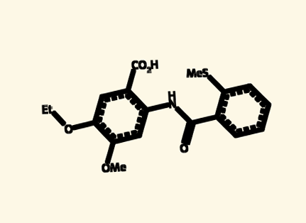 CCOc1cc(C(=O)O)c(NC(=O)c2ccccc2SC)cc1OC